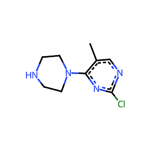 Cc1cnc(Cl)nc1N1CCNCC1